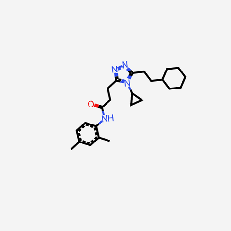 Cc1ccc(NC(=O)CCc2nnc(CCC3CCCCC3)n2C2CC2)c(C)c1